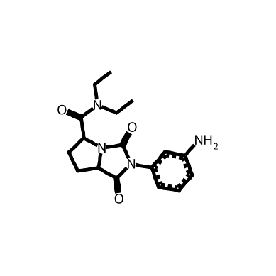 CCN(CC)C(=O)C1CCC2C(=O)N(c3cccc(N)c3)C(=O)N12